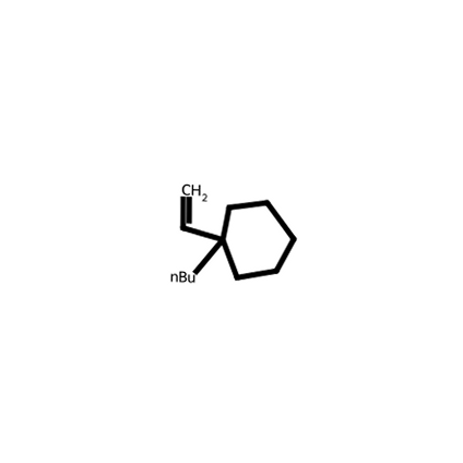 C=CC1(CCCC)CCCCC1